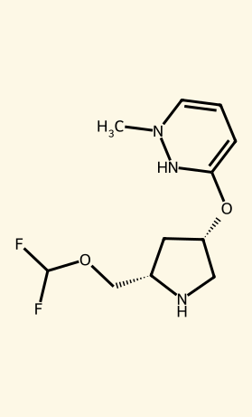 CN1C=CC=C(O[C@@H]2CN[C@H](COC(F)F)C2)N1